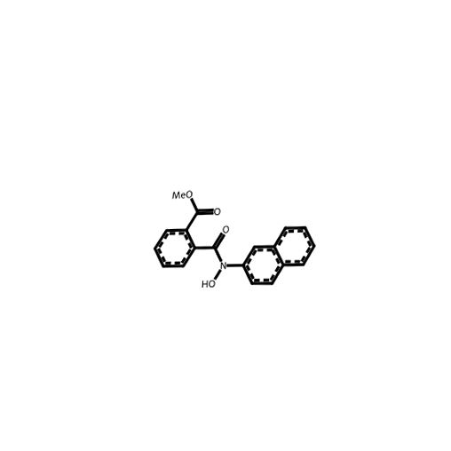 COC(=O)c1ccccc1C(=O)N(O)c1ccc2ccccc2c1